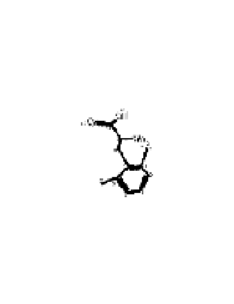 Cc1cccc(C)c1CC(N)C(=O)O